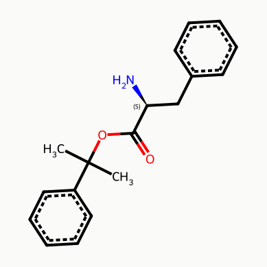 CC(C)(OC(=O)[C@@H](N)Cc1ccccc1)c1ccccc1